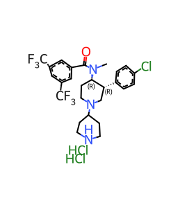 CN(C(=O)c1cc(C(F)(F)F)cc(C(F)(F)F)c1)[C@@H]1CCN(C2CCNCC2)C[C@H]1c1ccc(Cl)cc1.Cl.Cl